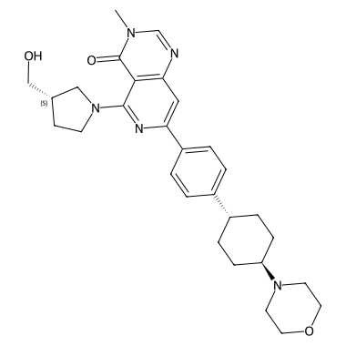 Cn1cnc2cc(-c3ccc([C@H]4CC[C@H](N5CCOCC5)CC4)cc3)nc(N3CC[C@H](CO)C3)c2c1=O